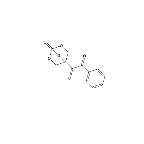 O=C(C(=O)C12COP(=O)(OC1)OC2)c1ccccc1